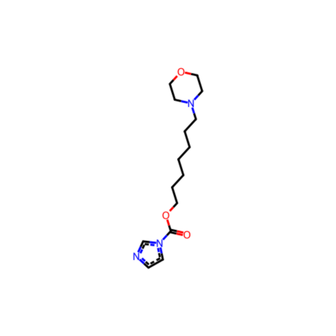 O=C(OCCCCCCCN1CCOCC1)n1ccnc1